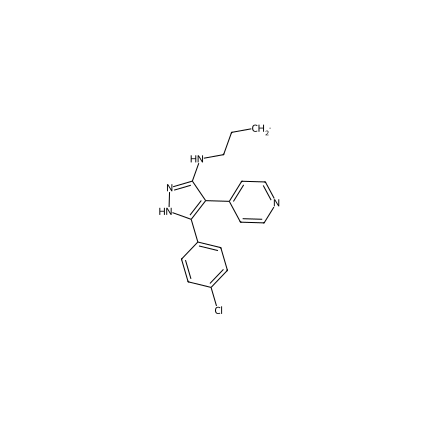 [CH2]CCNc1n[nH]c(-c2ccc(Cl)cc2)c1-c1ccncc1